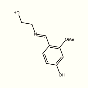 COc1cc(O)ccc1C=NCCO